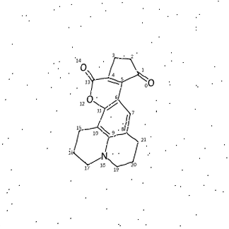 O=C1CCc2c1c1cc3c4c(c1oc2=O)CCCN4CCC3